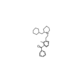 Cc1c(CCN2CCCCC2CC2CCCCC2)cccc1C(=O)c1ccccc1